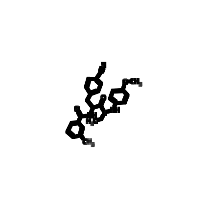 CCN(Nc1ccc(OC)cc1)C(=O)C(Cc1ccc(C#N)cc1)NC(=O)c1cccc(C)c1